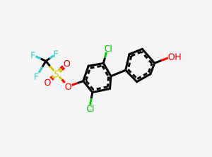 O=S(=O)(Oc1cc(Cl)c(-c2ccc(O)cc2)cc1Cl)C(F)(F)F